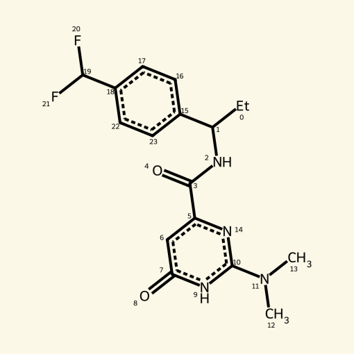 CCC(NC(=O)c1cc(=O)[nH]c(N(C)C)n1)c1ccc(C(F)F)cc1